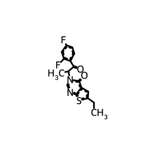 CCc1cc2c(=O)n(C(C)C(=O)c3ccc(F)cc3F)cnc2s1